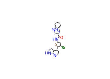 NCC(Cc1ccccc1)C(=O)Nc1cc(Br)c(-c2ccnc3[nH]ccc23)s1